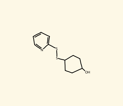 OC1CCC(SSc2ccccn2)CC1